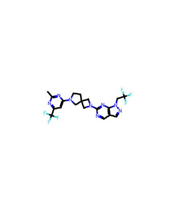 Cc1nc(N2CCC3(C2)CN(c2ncc4cnn(CC(F)(F)F)c4n2)C3)cc(C(F)(F)F)n1